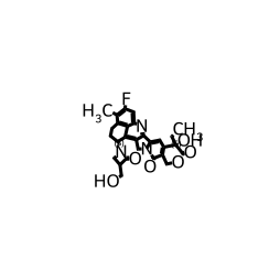 CC[C@@]1(O)C(=O)OCc2c1cc1n(c2=O)Cc2c-1nc1cc(F)c(C)c3c1c2[C@@H](N1CC(CO)C1=O)CC3